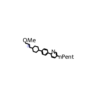 CCCCCc1ccc(-c2ccc(C3CCC(/C=C/COC)CC3)cc2)nc1